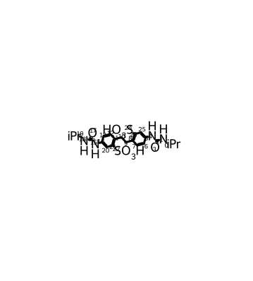 CC(C)NC(=O)Nc1ccc(CCc2ccc(NC(=O)NC(C)C)cc2S(=O)(=O)O)c(S(=O)(=O)O)c1